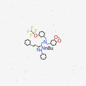 CCCCn1c(-c2ccccc2)nc(/C=C/c2ccccc2)c1CN(Cc1cccc(OC(F)(F)C(F)F)c1)Cc1ccc2c(c1)OCO2